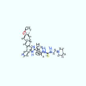 COc1ccc2cc(-c3nc(C(C)(C)CNC(=S)NCCN4CCCCC4)[nH]c3-c3ccncc3)ccc2c1